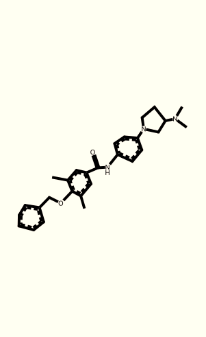 Cc1cc(C(=O)Nc2ccc(N3CCC(N(C)C)C3)cc2)cc(C)c1OCc1ccccc1